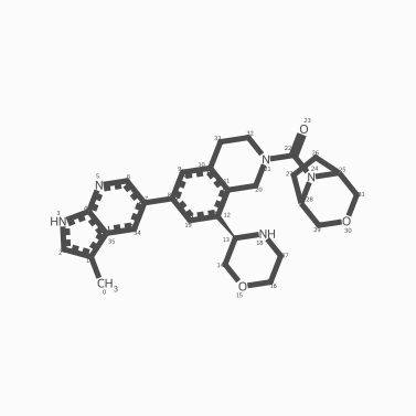 Cc1c[nH]c2ncc(-c3cc4c(c([C@@H]5COCCN5)c3)CN(C(=O)N3C5CCC3COC5)CC4)cc12